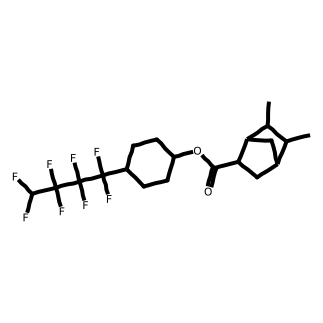 CC1C2CC(C(=O)OC3CCC(C(F)(F)C(F)(F)C(F)(F)C(F)F)CC3)C(C2)C1C